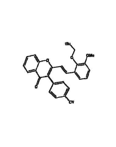 COc1cccc(C=Cc2oc3ccccc3c(=O)c2-c2ccc(C#N)cc2)c1OCC(C)(C)C